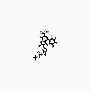 CC(C)(C)OC(=O)NC1CCN(c2nc3c(-c4c(F)c(F)c(F)c(F)c4F)cc(C(=O)O)c(=O)n3cc2F)C1